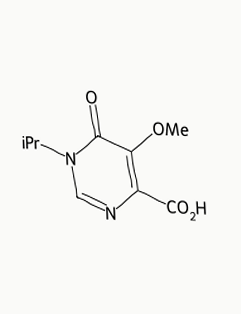 COc1c(C(=O)O)ncn(C(C)C)c1=O